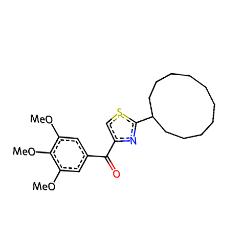 COc1cc(C(=O)c2csc(C3CCCCCCCCCC3)n2)cc(OC)c1OC